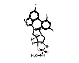 CNS(=O)(=O)N[C@@H]1CN2C(=O)N(c3noc4cc(F)cc(-c5c(F)cc(F)cc5F)c34)C[C@@H]2C1(F)F